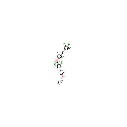 C=CCOc1ccc(-c2cc(F)c(C(F)(F)Oc3cc(F)c(C#Cc4cc(F)c(F)c(F)c4)c(F)c3)c(F)c2)cc1